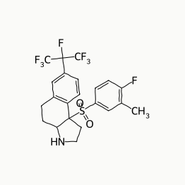 Cc1cc(S(=O)(=O)C23CCNC2CCc2cc(C(F)(C(F)(F)F)C(F)(F)F)ccc23)ccc1F